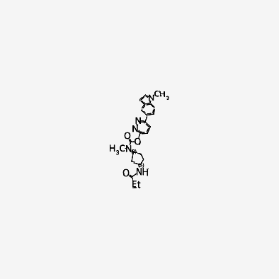 CCC(=O)N[C@H]1CC[C@@H](N(C)C(=O)Oc2ccc(-c3ccc4c(ccn4C)c3)nn2)C1